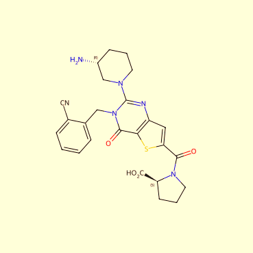 N#Cc1ccccc1Cn1c(N2CCC[C@@H](N)C2)nc2cc(C(=O)N3CCC[C@H]3C(=O)O)sc2c1=O